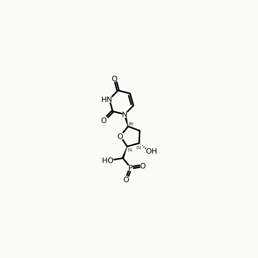 O=c1ccn([C@H]2C[C@H](O)[C@@H](C(O)P(=O)=O)O2)c(=O)[nH]1